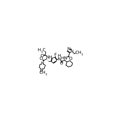 CCC(=O)N[C@H](Cc1ccc(NC(=O)[C@@H](NC(=O)c2cncn2CC)C2CCCCC2)c(F)c1)C(=O)N1CCN(C)CC1